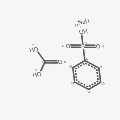 O=C(O)O.O=S(=O)(O)c1ccccc1.[NaH]